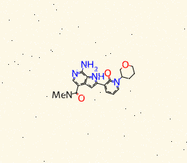 CNC(=O)c1cnc(N)c2[nH]c(-c3cccn(C4CCCOC4)c3=O)cc12